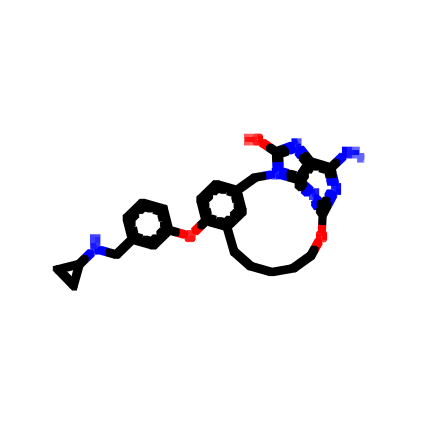 Nc1nc2nc3c1nc(O)n3Cc1ccc(Oc3cccc(CNC4CC4)c3)c(c1)CCCCCO2